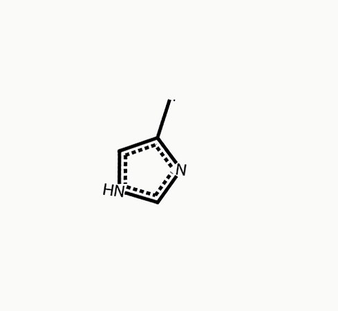 [CH2]c1c[nH]cn1